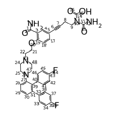 NC(=O)c1cc(C#CCCN(C(N)=O)C(=O)O)ccc1OCCN1CCN(c2cccc(-c3ccc(F)cc3)c2-c2ccc(F)cc2)CC1